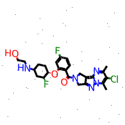 Cc1nc2c3c(nn2c(C)c1Cl)CN(C(=O)c1ccc(F)cc1O[C@H]1CCC(NCCO)C[C@@H]1F)C3